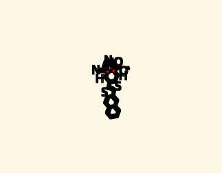 COC(=O)C1(C#N)[C@H]2c3sc4c(sc5cc6ccccc6cc54)c3[C@H](C3C=CC=CC32)C1(C#N)C#N